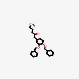 CCCCC(=O)Cc1ccc(OCc2ccccc2)c(OCc2ccccc2)c1